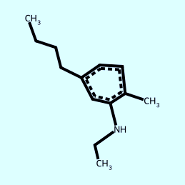 CCCCc1ccc(C)c(NCC)c1